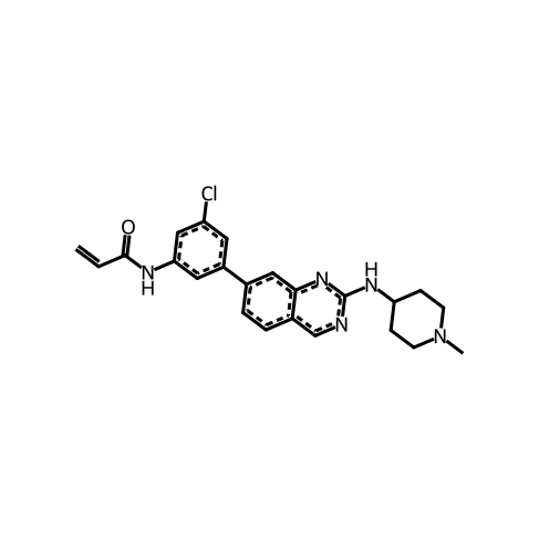 C=CC(=O)Nc1cc(Cl)cc(-c2ccc3cnc(NC4CCN(C)CC4)nc3c2)c1